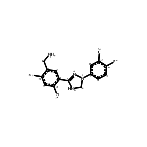 NCc1cc(C2=NN(c3ccc(F)c(Cl)c3)CN2)c(Cl)cc1F